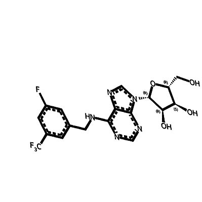 OC[C@H]1O[C@@H](n2cnc3c(NCc4cc(F)cc(C(F)(F)F)c4)ncnc32)[C@H](O)[C@@H]1O